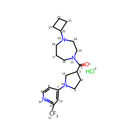 Cl.O=C(C1CCN(c2ccnc(C(F)(F)F)c2)C1)N1CCCN(C2CCC2)CC1